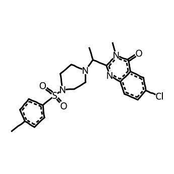 Cc1ccc(S(=O)(=O)N2CCN(C(C)c3nc4ccc(Cl)cc4c(=O)n3C)CC2)cc1